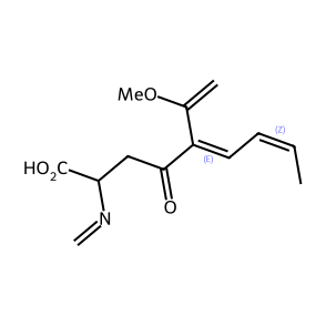 C=NC(CC(=O)/C(=C/C=C\C)C(=C)OC)C(=O)O